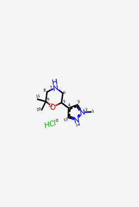 Cl.Cn1cc(C2CNCC(C)(C)O2)cn1